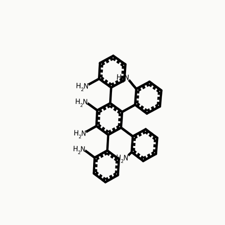 Nc1ccccc1-c1c(N)c(N)c(-c2ccccc2N)c(-c2ccccc2N)c1-c1ccccc1N